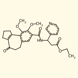 CCOC(=O)CC(NC(=O)c1cc2c(c(OC)c1OC)C1=C(CCC1)C(=O)CC2)c1cccnc1